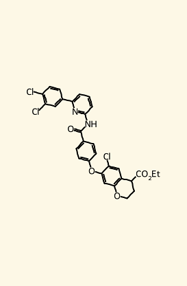 CCOC(=O)C1CCOc2cc(Oc3ccc(C(=O)Nc4cccc(-c5ccc(Cl)c(Cl)c5)n4)cc3)c(Cl)cc21